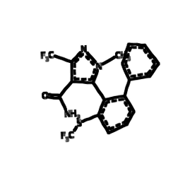 Cn1nc(C(F)(F)F)c(C(N)=O)c1-c1c(SC(F)(F)F)cccc1-c1ccccc1